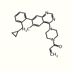 C=CC(=O)N1CCN(c2ncnc3cc(-c4ccccc4CC4CC4)c(C)cc23)CC1